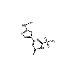 CC(C)Nc1ncc(-c2cc(=O)[nH]c(S(C)(=O)=O)n2)s1